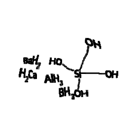 B.O[Si](O)(O)O.[AlH3].[BaH2].[CaH2]